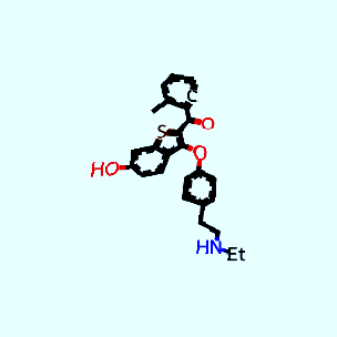 CCNCCc1ccc(Oc2c(C(=O)c3ccccc3C)sc3cc(O)ccc23)cc1